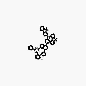 CC1(C)c2ccccc2-c2ccc(N(c3ccc(-c4ccc(-c5ccc6oc7cccc(-c8nc(-c9ccccc9)nc(-c9ccccc9)n8)c7c6c5)cc4)cc3)c3cccc4c3-c3ccccc3C4(C)C)cc21